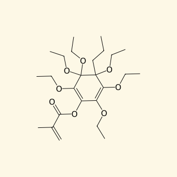 C=C(C)C(=O)OC1=C(OCC)C(OCC)(OCC)C(CCC)(OCC)C(OCC)=C1OCC